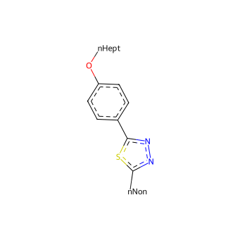 CCCCCCCCCc1nnc(-c2ccc(OCCCCCCC)cc2)s1